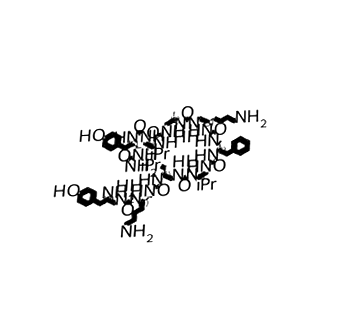 CC(C)C[C@@H](CNC(=O)N[C@H](CNC(=O)N[C@H](CNC(=O)N[C@@H](CCCCN)CNC(=O)N[C@@H](C)CNC(=O)N[C@H](CNC(=O)N[C@H](CNC(N)=O)Cc1ccc(O)cc1)C(C)C)Cc1ccccc1)C(C)C)NC(=O)NC[C@H](CCCCN)NC(=O)NC[C@@H](N)Cc1ccc(O)cc1